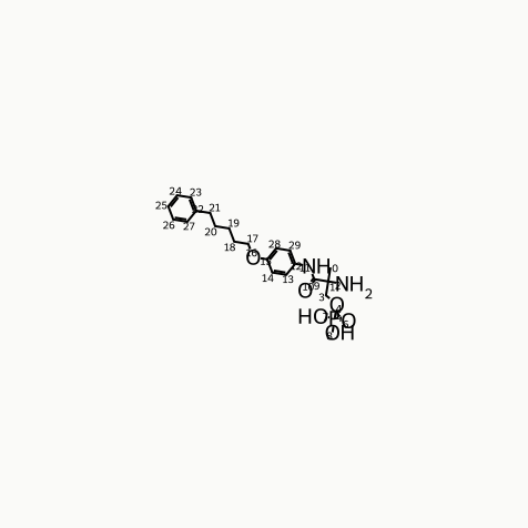 CC(N)(COP(=O)(O)O)C(=O)Nc1ccc(OCCCCCc2ccccc2)cc1